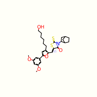 COc1cc(OC)cc(-c2cc(CCCCCCO)c(/C=C3\SC(=S)N(C4CC5CCC4C5)C3=O)o2)c1